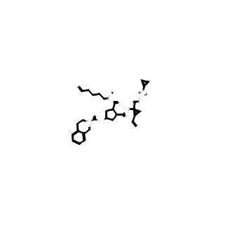 C=CCCCCN(C)C(=O)C1CC(OC(=O)N2CCc3ccccc3C2)CC1C(=O)NC1(C(=O)NS(=O)(=O)C2CC2)CC1C=C